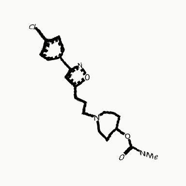 CNC(=O)OC1CCN(CCCc2cc(-c3ccc(Cl)cc3)no2)CC1